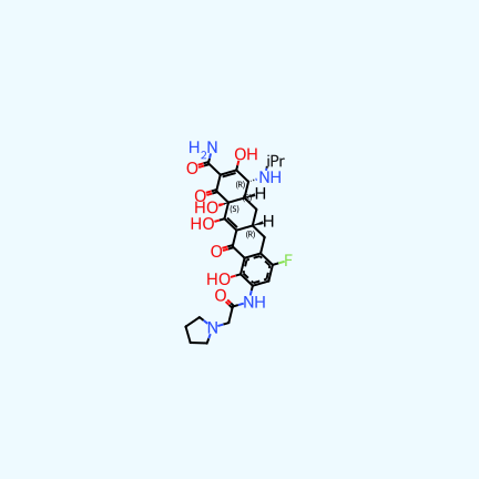 CC(C)N[C@H]1C(O)=C(C(N)=O)C(=O)[C@@]2(O)C(O)=C3C(=O)c4c(O)c(NC(=O)CN5CCCC5)cc(F)c4C[C@H]3C[C@@H]12